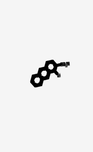 [Li][c]1c(S(=O)(=O)O)ccc2cc3ccccc3cc12